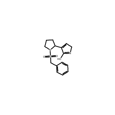 O=S(=O)(Cc1ccccc1)N1CCCC1C1=CCN=C1O